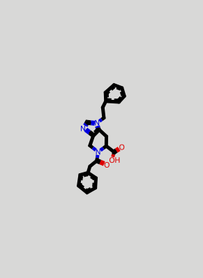 O=C(O)C1Cc2c(ncn2CCc2ccccc2)CN1C(=O)Cc1ccccc1